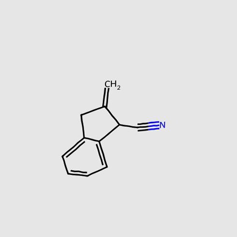 C=C1Cc2ccccc2C1C#N